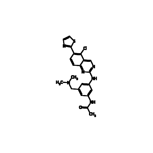 CC(=O)Nc1cc(CN(C)C)cc(Nc2ncc3c(Cl)c(-c4nccs4)ccc3n2)c1